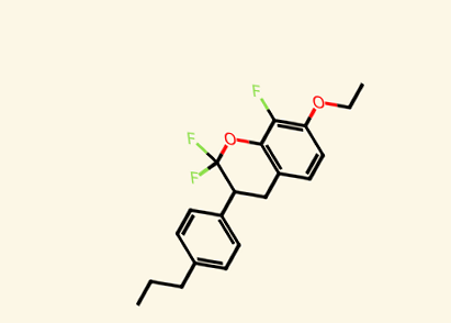 CCCc1ccc(C2Cc3ccc(OCC)c(F)c3OC2(F)F)cc1